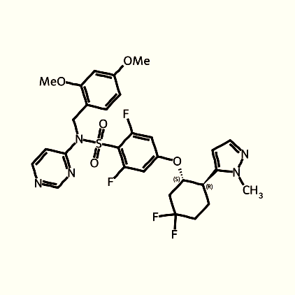 COc1ccc(CN(c2ccncn2)S(=O)(=O)c2c(F)cc(O[C@H]3CC(F)(F)CC[C@@H]3c3ccnn3C)cc2F)c(OC)c1